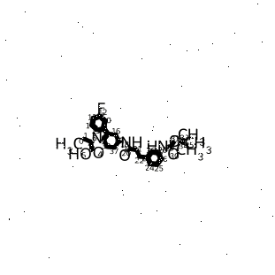 CCC(C(=O)O)n1c2c(c3cc(F)ccc31)C[C@@H](NC(=O)CCc1cccc(NC(=O)OC(C)(C)C)c1)CC2